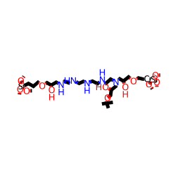 CO[Si](CCCOCC(O)CNCCNCCNCCNCCN(CC(O)COCCC[Si](OC)(OC)OC)CC(O)COC(C)(C)C)(OC)OC